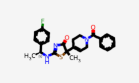 C[C@H](NC1=NC(=O)C(C)(C2=CCN(C(=O)c3ccccc3)CC2)S1)c1ccc(F)cc1